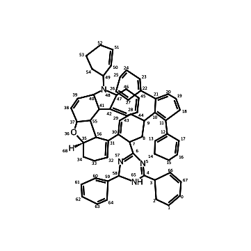 C1=CCC(C2=NC(C3CC(c4c(C5=CCCC=C5)cccc4-c4ccccc4)CC=C3C3=CCC[C@@H]4OC5C=CC6C(C7=CC=CCC7N6C6C=CCCC6)C5C34)=NC(c3ccccc3)N2)C=C1